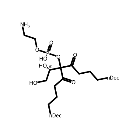 CCCCCCCCCCCCCC(=O)C(OP(=O)(O)OCCN)(C(=O)CCCCCCCCCCCCC)[C@@H](O)CO